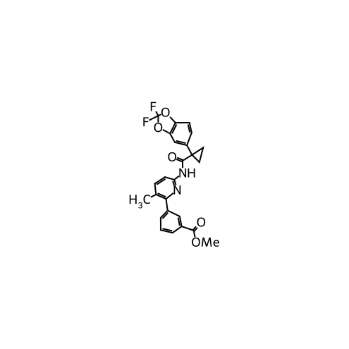 COC(=O)c1cccc(-c2nc(NC(=O)C3(c4ccc5c(c4)OC(F)(F)O5)CC3)ccc2C)c1